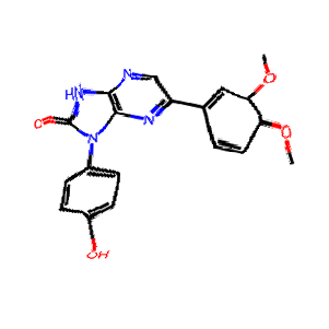 COC1C=CC(c2cnc3[nH]c(=O)n(-c4ccc(O)cc4)c3n2)=CC1OC